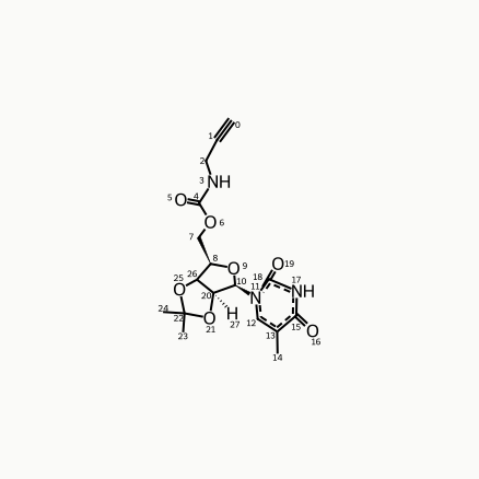 C#CCNC(=O)OC[C@H]1O[C@@H](n2cc(C)c(=O)[nH]c2=O)[C@H]2OC(C)(C)OC12